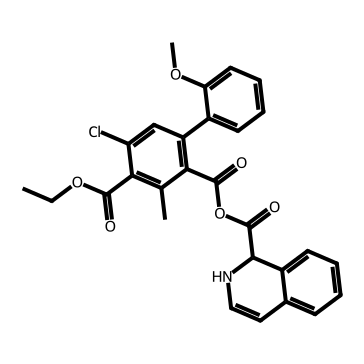 CCOC(=O)c1c(Cl)cc(-c2ccccc2OC)c(C(=O)OC(=O)C2NC=Cc3ccccc32)c1C